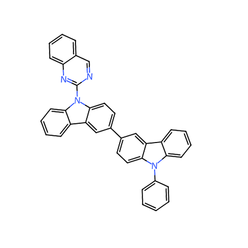 c1ccc(-n2c3ccccc3c3cc(-c4ccc5c(c4)c4ccccc4n5-c4ncc5ccccc5n4)ccc32)cc1